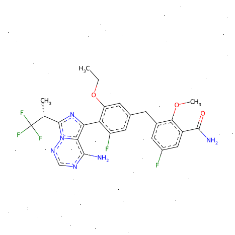 CCOc1cc(Cc2cc(F)cc(C(N)=O)c2OC)cc(F)c1-c1nc([C@@H](C)C(F)(F)F)n2ncnc(N)c12